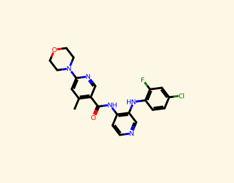 Cc1cc(N2CCOCC2)ncc1C(=O)Nc1ccncc1Nc1ccc(Cl)cc1F